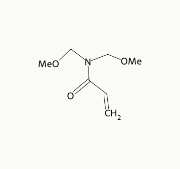 C=CC(=O)N(COC)COC